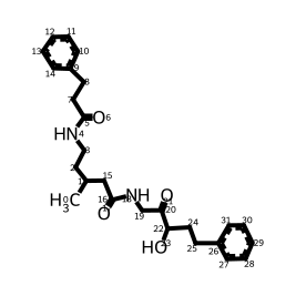 CC(CCNC(=O)CCc1ccccc1)CC(=O)NCC(=O)C(O)CCc1ccccc1